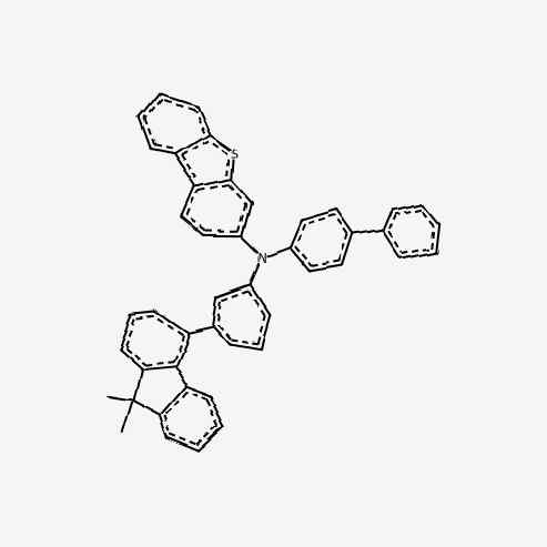 CC1(C)c2ccccc2-c2c(-c3cccc(N(c4ccc(-c5ccccc5)cc4)c4ccc5c(c4)sc4ccccc45)c3)cccc21